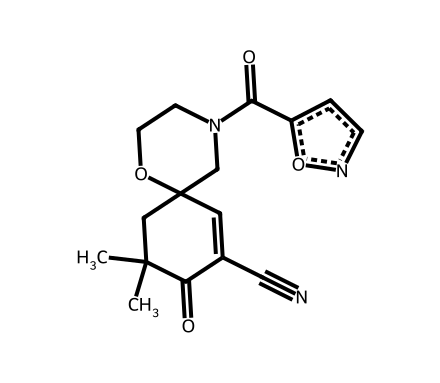 CC1(C)CC2(C=C(C#N)C1=O)CN(C(=O)c1ccno1)CCO2